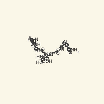 COc1ncc(-c2ccc3nccc(-c4ccc(COC(=O)CCCSSCC(NC(=O)CCC(=O)NCc5cc(C(=O)NC(C)C(=O)N6CC(F)(F)C[C@H]6C#N)ccn5)C(=O)N[C@@H]5[C@@H](O)[C@H](C)C(O)O[C@H]5CO)nc4)c3c2)cc1N